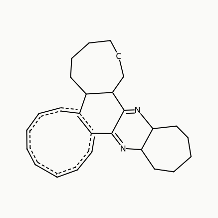 c1ccccc2c(ccc1)C1=NC3CCCCCC3N=C1C1CCCCCCC21